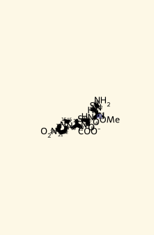 CO/N=C(\C(=O)N[C@@H]1C(=O)N2C(C(=O)[O-])=C(Cn3cc[n+]4cc([N+](=O)[O-])ccc34)CS[C@@H]12)c1csc(N)n1